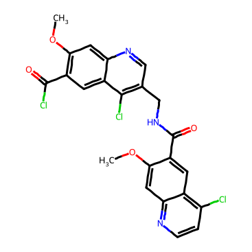 COc1cc2ncc(CNC(=O)c3cc4c(Cl)ccnc4cc3OC)c(Cl)c2cc1C(=O)Cl